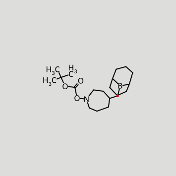 CC(C)(C)OC(=O)ON1CCCC(CB2C3CCCC2CCC3)CC1